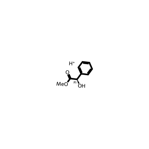 COC(=O)[C@H](O)c1ccccc1.[H+]